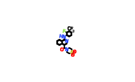 O=C(c1cnc(Nc2cccc(C(F)(F)F)c2F)c2ccccc12)N1CCS(=O)(=O)CC1